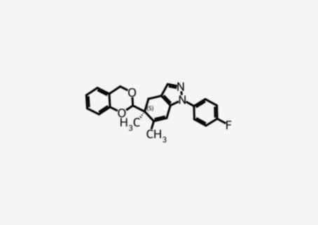 CC1=Cc2c(cnn2-c2ccc(F)cc2)C[C@]1(C)C1OCc2ccccc2O1